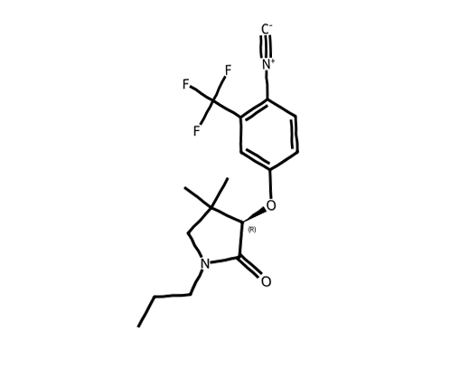 [C-]#[N+]c1ccc(O[C@H]2C(=O)N(CCC)CC2(C)C)cc1C(F)(F)F